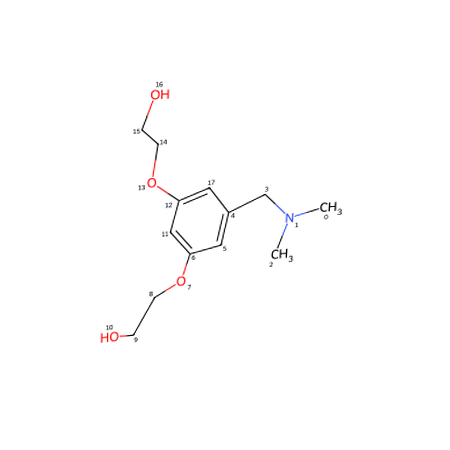 CN(C)Cc1cc(OCCO)cc(OCCO)c1